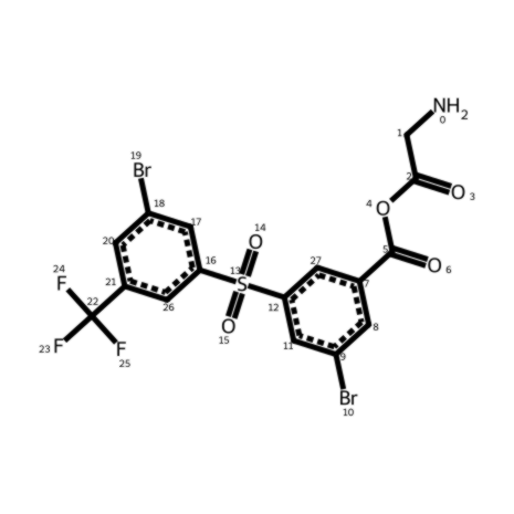 NCC(=O)OC(=O)c1cc(Br)cc(S(=O)(=O)c2cc(Br)cc(C(F)(F)F)c2)c1